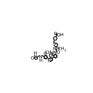 COc1cc(-c2nccc(-c3cccc(NC(=O)c4nc5c(n4C)CCN(CC4CCC(C(=O)O)CC4)C5)c3Cl)c2Cl)ccc1CNCC1CCC(=O)N1